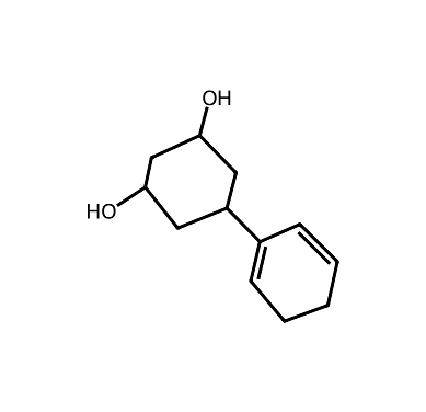 OC1CC(O)CC(C2=CCCC=C2)C1